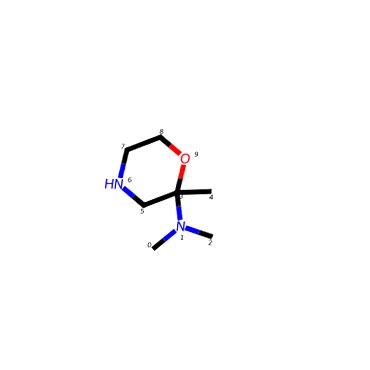 CN(C)C1(C)CNCCO1